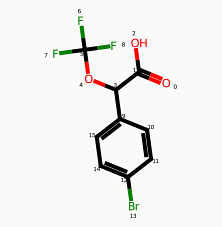 O=C(O)C(OC(F)(F)F)c1ccc(Br)cc1